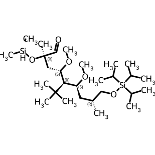 CO[C@@H](C[C@@H](C)CO[Si](C(C)C)(C(C)C)C(C)C)[C@H]([C@H](C[C@](C)(C=O)O[SiH](C)C)OC)C(C)(C)C